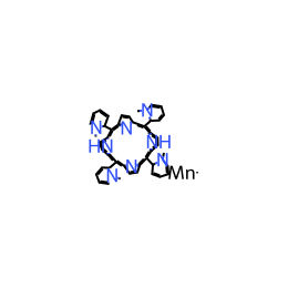 CN1C=CC=CC1c1c2nc(c(C3C=CC=CN3C)c3ccc([nH]3)c(C3C=CC=CN3C)c3nc(c(C4C=CC=CN4C)c4ccc1[nH]4)C=C3)C=C2.[Mn]